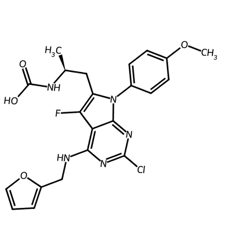 COc1ccc(-n2c(C[C@H](C)NC(=O)O)c(F)c3c(NCc4ccco4)nc(Cl)nc32)cc1